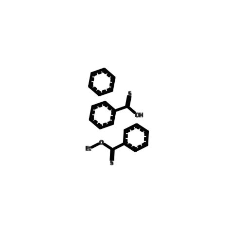 CCOC(=S)c1ccccc1.OC(=S)c1ccccc1.c1ccccc1